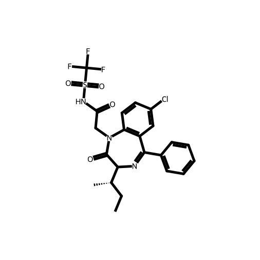 CC[C@H](C)C1N=C(c2ccccc2)c2cc(Cl)ccc2N(CC(=O)NS(=O)(=O)C(F)(F)F)C1=O